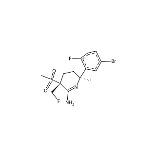 C[C@@]1(c2cc(Br)ccc2F)CC[C@@](CF)(S(C)(=O)=O)C(N)=N1